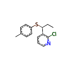 CCC(Sc1ccc(C)cc1)c1cccnc1Cl